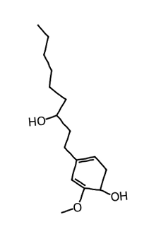 CCCCCCC(O)CCC1=CCC(O)C(OC)=C1